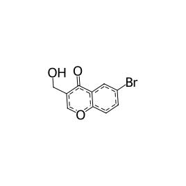 O=c1c(CO)coc2ccc(Br)cc12